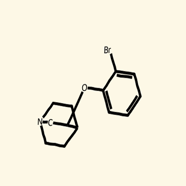 Brc1ccccc1OC1CN2CCC1CC2